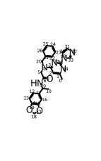 Cc1cc(N(CC(=O)NC(C)c2ccc3c(c2)OCO3)Cc2ccccc2)nc(-n2ccnc2)n1